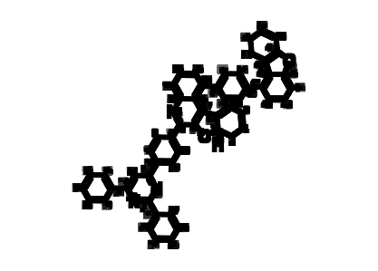 C1=CC[C@H]2Oc3c(-c4ccc(-c5cc(-c6ccccc6)nc(-c6ccccc6)n5)cc4)nc4cccc(-c5ccc(-c6cccc7oc8c(c67)CCC=C8)cc5)c4c3C2=C1